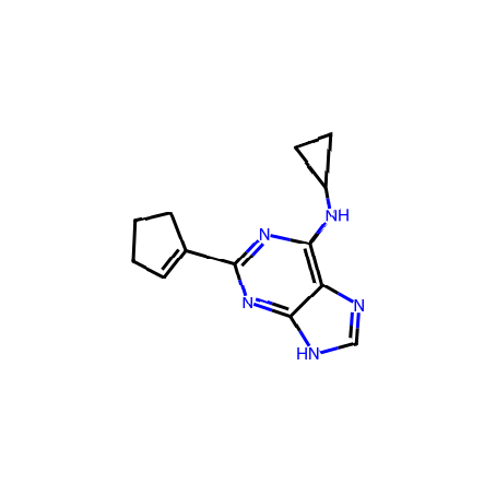 C1=C(c2nc(NC3CC3)c3nc[nH]c3n2)CCC1